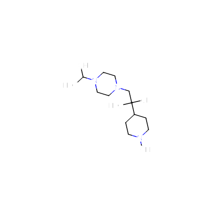 CC(C)N1CCN(CC(C)(C)C2CCN(C)CC2)CC1